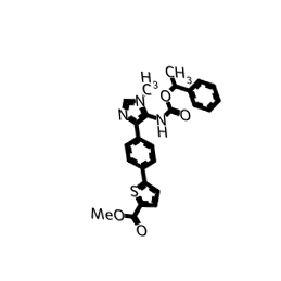 COC(=O)c1ccc(-c2ccc(-c3ncn(C)c3NC(=O)OC(C)c3ccccc3)cc2)s1